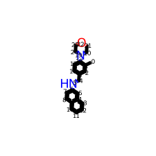 Cc1cc(CNc2ccc3ccccc3c2)ccc1N1CCOCC1